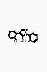 Cc1ccccc1-c1cnn(-c2ccccc2)c1O